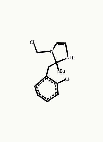 CCCCC1(Cc2ccccc2Cl)NC=CN1CCl